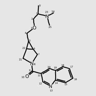 CC(COCC1C2CN(C(=O)c3cnc4ccccc4c3)CC12)N(C)C